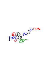 O=C1NC(=O)c2ccc(/N=C/c3cc[n+](CCO)cc3)c3cccc1c23.[Br-]